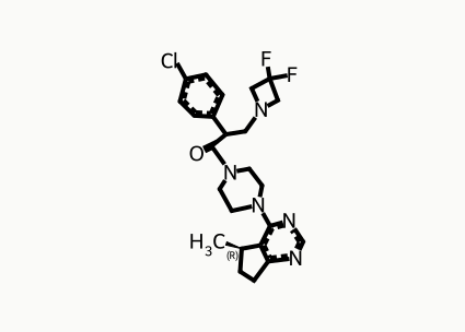 C[C@@H]1CCc2ncnc(N3CCN(C(=O)C(CN4CC(F)(F)C4)c4ccc(Cl)cc4)CC3)c21